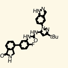 CC(C)(C)c1cc(NC(=O)Nc2cc(-c3cccc4c3CNC4=O)ccc2F)n(-c2ccc3[nH]ncc3c2)n1